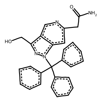 NC(=O)Cc1cc2c(cn1)c(CO)nn2C(c1ccccc1)(c1ccccc1)c1ccccc1